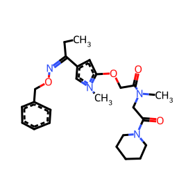 CCC(=NOCc1ccccc1)c1cc(OCC(=O)N(C)CC(=O)N2CCCCC2)n(C)c1